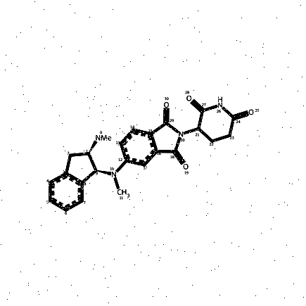 CN[C@@H]1Cc2ccccc2[C@@H]1N(C)c1ccc2c(c1)C(=O)N(C1CCC(=O)NC1=O)C2=O